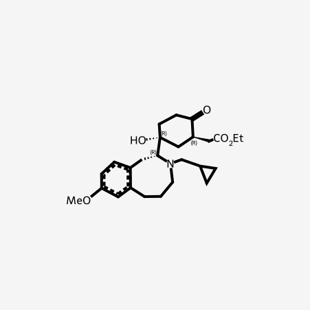 CCOC(=O)C[C@H]1C[C@@](O)([C@H]2Cc3ccc(OC)cc3CCCN2CC2CC2)CCC1=O